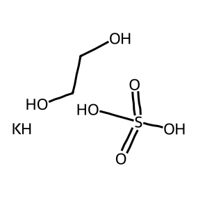 O=S(=O)(O)O.OCCO.[KH]